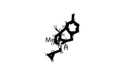 CN[C@@H]1[C@H]2Cc3ccc(C)cc3[C@@]1(C)CCN2CC1CC1